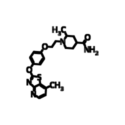 Cc1ccnc2nc(Oc3ccc(OCCN4CCC(C(N)=O)CC4C)cc3)sc12